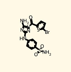 Nc1nc(Nc2ccc(S(N)(=O)=O)cc2)nn1C(=O)c1ccc(Br)s1